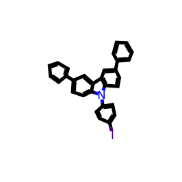 Ic1ccc(-n2c3ccc(-c4ccccc4)cc3c3cc(-c4ccccc4)ccc32)cc1